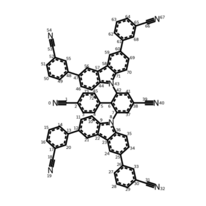 N#Cc1ccc(-c2c(-n3c4ccc(-c5cccc(C#N)c5)cc4c4cc(-c5cccc(C#N)c5)ccc43)cc(C#N)cc2-n2c3ccc(-c4cccc(C#N)c4)cc3c3cc(-c4cccc(C#N)c4)ccc32)cc1